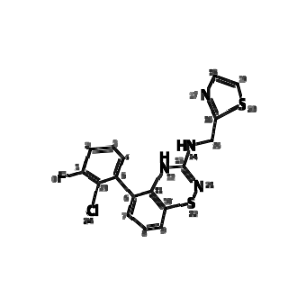 Fc1cccc(-c2cccc3c2NC(NCc2nccs2)=NS3)c1Cl